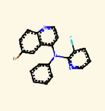 Fc1cccnc1N(c1ccccc1)c1ccnc2ccc(Br)cc12